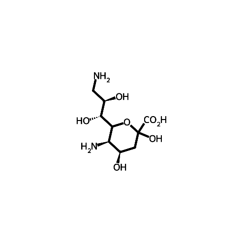 NC[C@@H](O)[C@@H](O)C1OC(O)(C(=O)O)C[C@@H](O)[C@H]1N